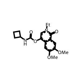 CCn1cc(OC(=O)NC2CCC2)c2cc(OC)c(OC)cc2c1=O